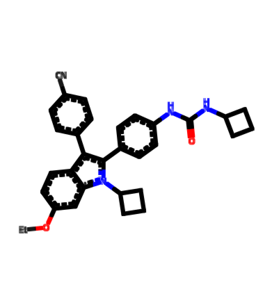 CCOc1ccc2c(-c3ccc(C#N)cc3)c(-c3ccc(NC(=O)NC4CCC4)cc3)n(C3CCC3)c2c1